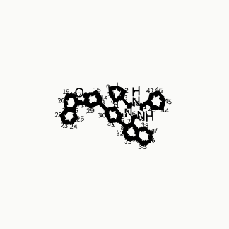 c1ccc(C2=NC(c3c(-c4ccc(-c5ccc6oc7ccc8ccccc8c7c6c5)cc4)ccc4ccccc34)NC(c3ccccc3)N2)cc1